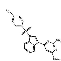 CNc1cc(-c2cn(S(=O)(=O)c3ccc(C(F)(F)F)cc3)c3ccccc23)nc(N)n1